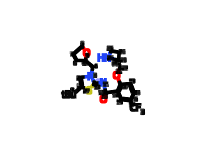 CC(C)(C)c1cn(C[C@H]2CCCO2)/c(=N/C(=O)c2cc(C(F)(F)F)ccc2OC[C@H]2CCN2)s1